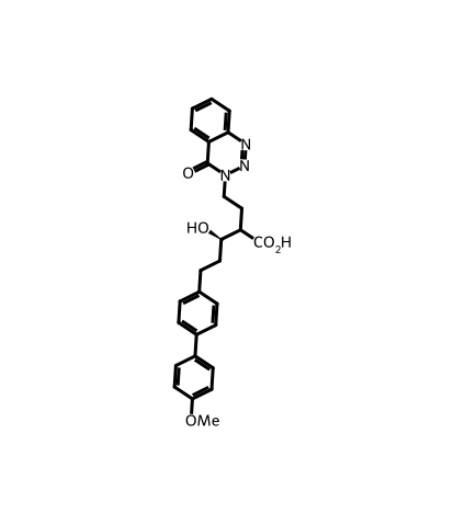 COc1ccc(-c2ccc(CC[C@@H](O)C(CCn3nnc4ccccc4c3=O)C(=O)O)cc2)cc1